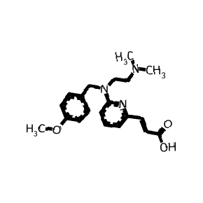 COc1ccc(CN(CCN(C)C)c2cccc(C=CC(=O)O)n2)cc1